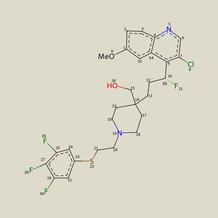 COc1ccc2ncc(Cl)c([C@H](F)CCC3(CO)CCN(CCSc4cc(F)c(F)c(F)c4)CC3)c2c1